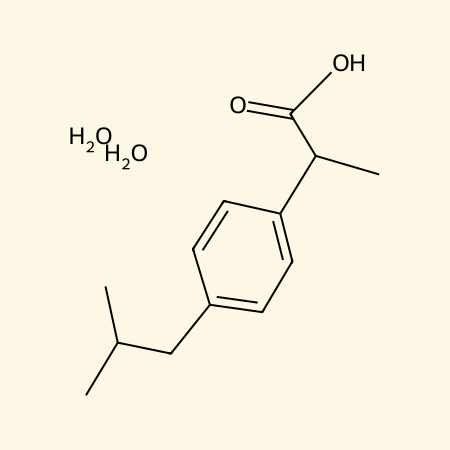 CC(C)Cc1ccc(C(C)C(=O)O)cc1.O.O